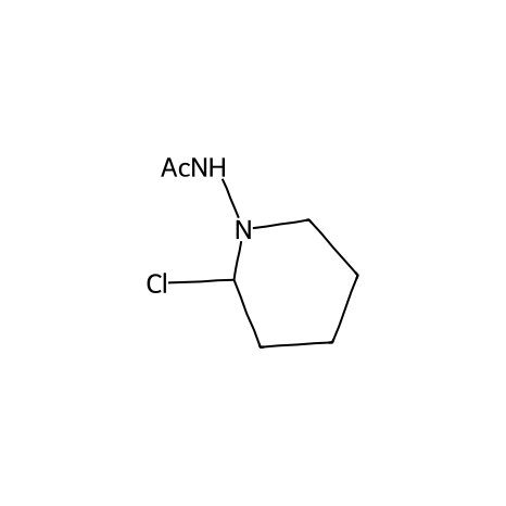 CC(=O)NN1CCCCC1Cl